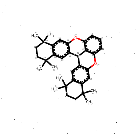 CC1(C)CCC(C)(C)c2cc3c(cc21)Oc1cccc2c1B3c1cc3c(cc1O2)C(C)(C)CCC3(C)C